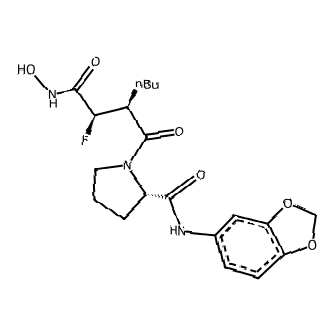 CCCC[C@@H](C(=O)N1CCC[C@H]1C(=O)Nc1ccc2c(c1)OCO2)[C@@H](F)C(=O)NO